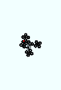 c1ccc(C2(c3ccccc3)c3ccccc3-c3c(-c4ccc5c6ccc(-c7cccc8c7-c7ccccc7C8(c7ccccc7)c7ccccc7)cc6c6nc7c(-c8cccc9c8-c8ccccc8C98c9ccccc9-c9ccccc98)sc(-c8cccc9c8-c8ccccc8C98c9ccccc9-c9ccccc98)c7nc6c5c4)cccc32)cc1